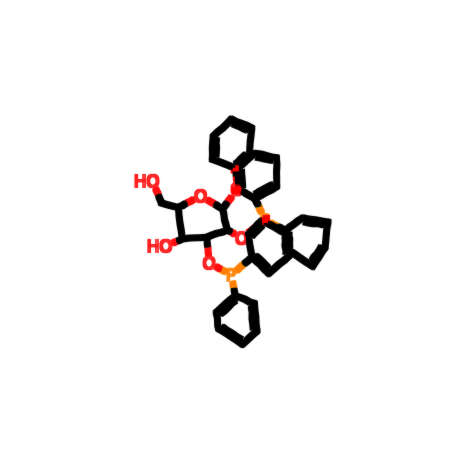 OCC1OC(Oc2ccccc2)C(OP(c2ccccc2)c2ccccc2)C(OP(c2ccccc2)c2ccccc2)C1O